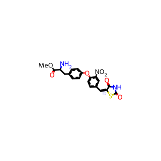 COC(=O)C(N)Cc1ccc(Oc2ccc(/C=C3/SC(=O)NC3=O)cc2[N+](=O)[O-])cc1